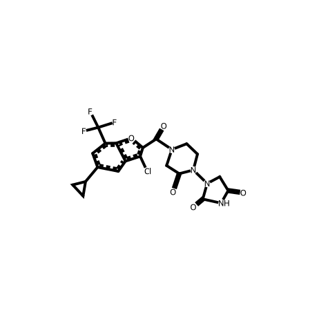 O=C1CN(N2CCN(C(=O)c3oc4c(C(F)(F)F)cc(C5CC5)cc4c3Cl)CC2=O)C(=O)N1